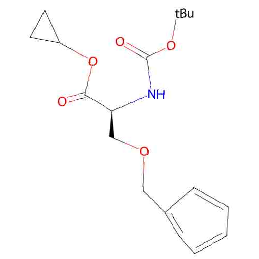 CC(C)(C)OC(=O)N[C@@H](COCc1ccccc1)C(=O)OC1CC1